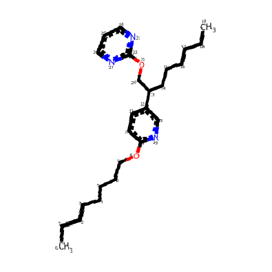 CCCCCCCCOc1ccc(C(CCCCCC)COc2ncccn2)cn1